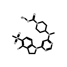 CN(c1cc(N2CCc3c2ccc(S(C)(=O)=O)c3F)ncn1)C1CCN(C(=O)OC(C)(C)C)CC1